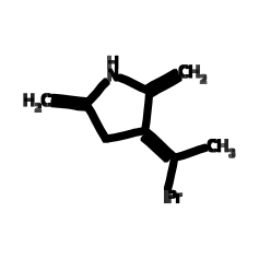 C=C1C/C(=C(/C)C(C)C)C(=C)N1